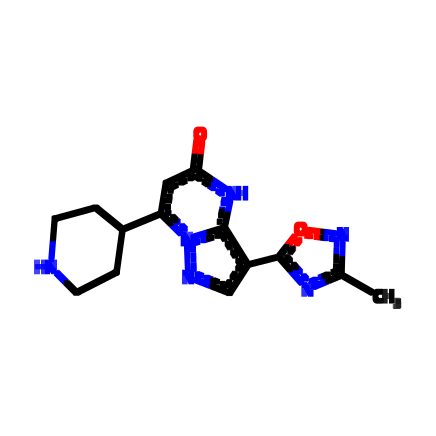 Cc1noc(-c2cnn3c(C4CCNCC4)cc(=O)[nH]c23)n1